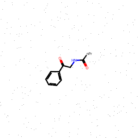 CCCC(=O)NCC(=O)c1ccccc1